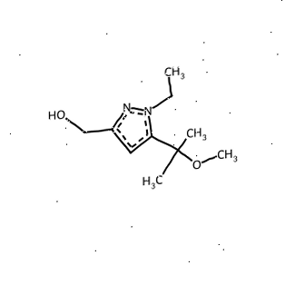 CCn1nc(CO)cc1C(C)(C)OC